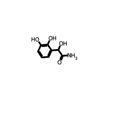 NC(=O)C(O)c1cccc(O)c1O